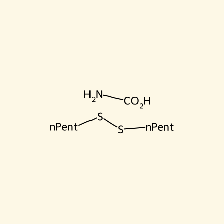 CCCCCSSCCCCC.NC(=O)O